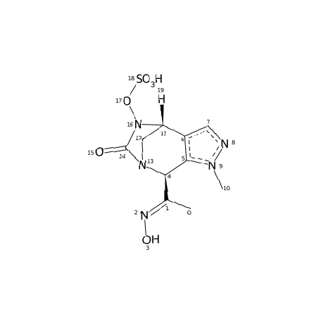 C/C(=N\O)[C@@H]1c2c(cnn2C)[C@@H]2CN1C(=O)N2OS(=O)(=O)O